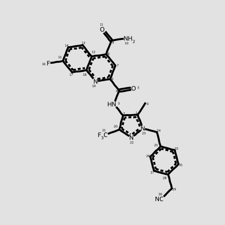 Cc1c(NC(=O)c2cc(C(N)=O)c3ccc(F)cc3n2)c(C(F)(F)F)nn1Cc1ccc(CC#N)cc1